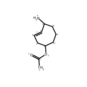 CC(=O)OC1C/C=C/C(N)CCC1